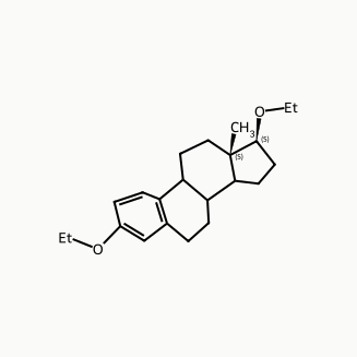 CCOc1ccc2c(c1)CCC1C2CC[C@@]2(C)C1CC[C@@H]2OCC